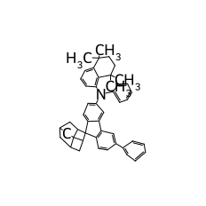 CC1(C)CCC(C)(C)c2c(N(c3ccccc3)c3ccc4c(c3)-c3cc(-c5ccccc5)ccc3C43C4CC5CC6CC3C64C5)cccc21